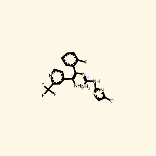 N/C(=C(\N=C(/N)Nc1nc(Cl)cs1)c1ccccc1F)c1ccnc(C(F)(F)F)c1